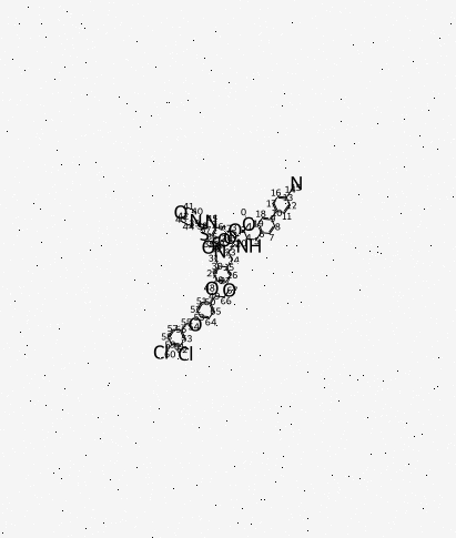 COC(=O)C(Cc1ccc(-c2ccc(C#N)cc2)cc1)NC(=O)C1Cc2cc3c(cc2CN1S(=O)(=O)c1sc(N2CCOCC2)nc1C)OC(c1ccc(OCc2ccc(Cl)c(Cl)c2)cc1)CO3